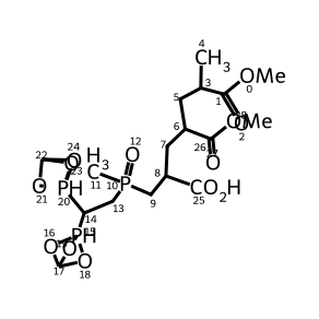 COC(=O)C(C)CC(CC(CP(C)(=O)CC([PH]12OC(O1)O2)[PH]12OC(O1)O2)C(=O)O)C(=O)OC